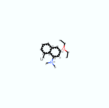 CCOCC.[Li][c]1cccc2cccc(N(C)C)c12